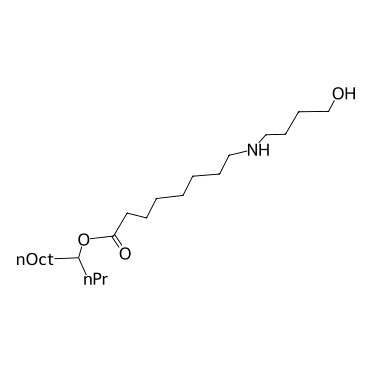 CCCCCCCCC(CCC)OC(=O)CCCCCCCNCCCCO